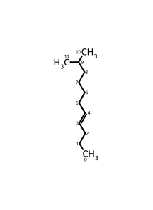 CCCC=CCCCCC(C)C